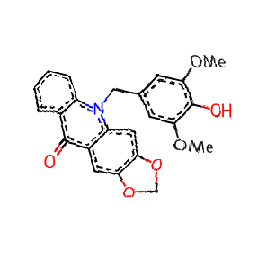 COc1cc(Cn2c3ccccc3c(=O)c3cc4c(cc32)OCO4)cc(OC)c1O